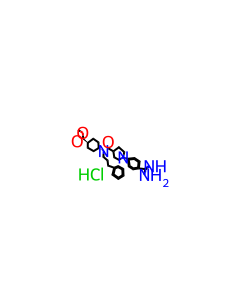 COC(=O)[C@H]1CC[C@H](N(CCCc2ccccc2)C(=O)C2CCN(c3ccc(C(=N)N)cc3)CC2)CC1.Cl